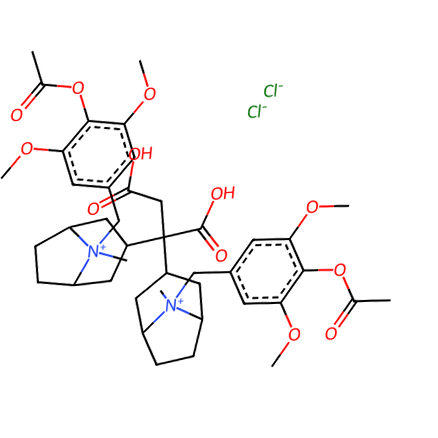 COc1cc(C[N+]2(C)C3CCC2CC(C(CC(=O)O)(C(=O)O)C2CC4CCC(C2)[N+]4(C)Cc2cc(OC)c(OC(C)=O)c(OC)c2)C3)cc(OC)c1OC(C)=O.[Cl-].[Cl-]